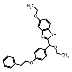 CCOc1ccc2[nH]c(C(OCC)c3ccc(OCCc4ccccc4)cc3)nc2c1